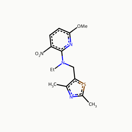 CCN(Cc1sc(C)nc1C)c1nc(OC)ccc1[N+](=O)[O-]